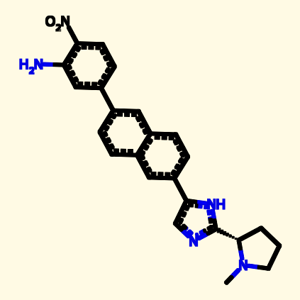 CN1CCC[C@H]1c1ncc(-c2ccc3cc(-c4ccc([N+](=O)[O-])c(N)c4)ccc3c2)[nH]1